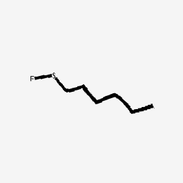 CCCCCCSF